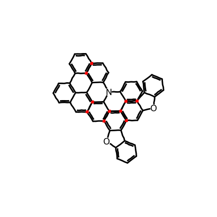 c1ccc(-c2cccc3cccc(-c4ccccc4N(c4ccccc4-c4ccc5oc6ccccc6c5c4)c4ccccc4-c4ccc5oc6ccccc6c5c4)c23)cc1